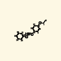 CCOc1ccc(OBOc2ccccc2)cc1